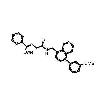 CO/C(=N\CC(=O)NCc1ccc(-c2cccc(OC)c2)c2ccncc12)c1ccccc1